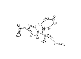 CCOC(=O)C(c1ccc([N+](=O)[O-])cc1)N1CCC(=O)CC1